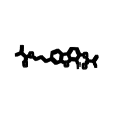 C=C(C)C(=O)OCCCc1ccc2c(c1)oc1c(F)c(OC(=O)C(=C)C)ccc12